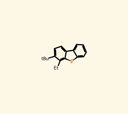 CCc1c(C(C)(C)C)ccc2c1sc1ccccc12